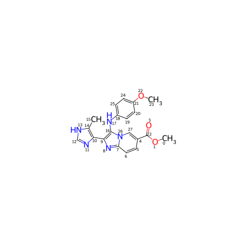 COC(=O)c1ccc2nc(-c3nc[nH]c3C)c(Nc3ccc(OC)cc3)n2c1